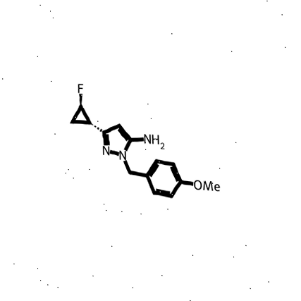 COc1ccc(Cn2nc([C@@H]3C[C@H]3F)cc2N)cc1